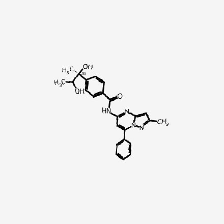 Cc1cc2nc(NC(=O)c3ccc([C@](C)(O)C(C)O)cc3)cc(-c3ccccc3)n2n1